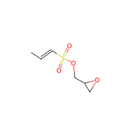 CC=CS(=O)(=O)OCC1CO1